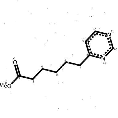 COC(=O)CCCCCc1ccncn1